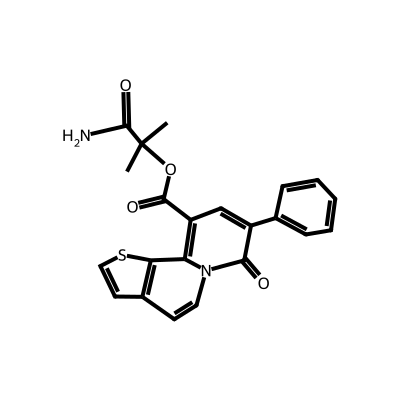 CC(C)(OC(=O)c1cc(-c2ccccc2)c(=O)n2ccc3ccsc3c12)C(N)=O